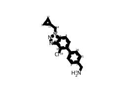 NCc1ccc(-c2ccc3c(nnn3CC3CC3)c2Cl)cc1